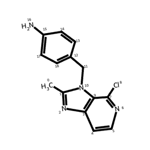 Cc1nc2ccnc(Cl)c2n1Cc1ccc(N)cc1